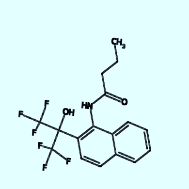 CCCC(=O)Nc1c(C(O)(C(F)(F)F)C(F)(F)F)ccc2ccccc12